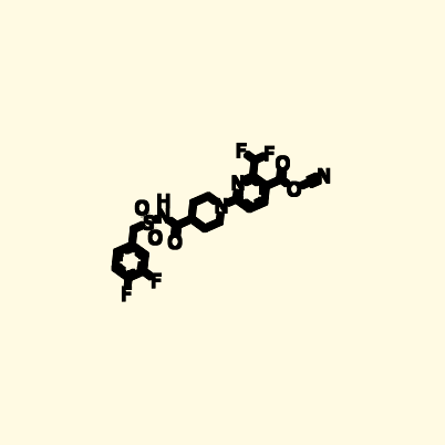 N#COC(=O)c1ccc(N2CCC(C(=O)NS(=O)(=O)Cc3ccc(F)c(F)c3)CC2)nc1C(F)F